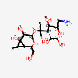 CC1C2C(CO)O[C@H](OC(C)(C)[C@@H](C(O)CO)C(O)C(O)CN)C(O)C12O